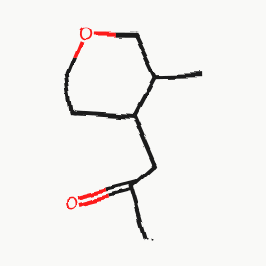 [CH2]C(=O)CC1CCOCC1C